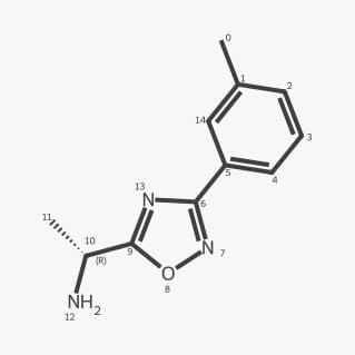 Cc1cccc(-c2noc([C@@H](C)N)n2)c1